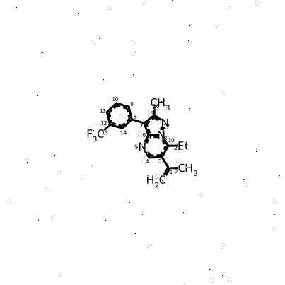 C=C(C)c1cnc2c(-c3cccc(C(F)(F)F)c3)c(C)nn2c1CC